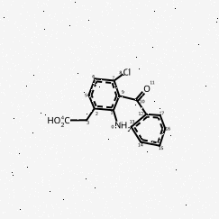 Nc1c(CC(=O)O)ccc(Cl)c1C(=O)c1ccccc1